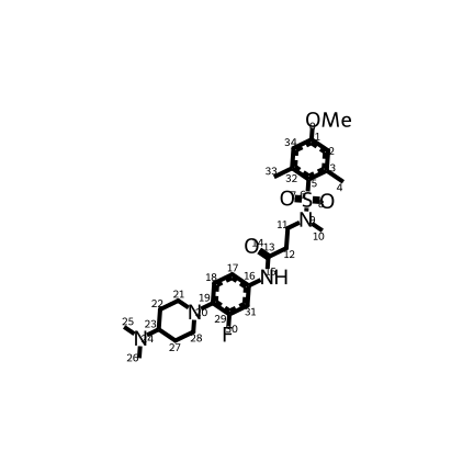 COc1cc(C)c(S(=O)(=O)N(C)CCC(=O)Nc2ccc(N3CCC(N(C)C)CC3)c(F)c2)c(C)c1